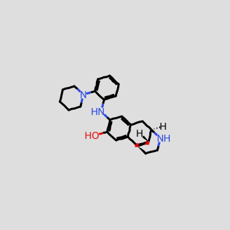 Oc1cc2c(cc1Nc1ccccc1N1CCCCC1)C[C@H]1NCC[C@@]23CCCC[C@@H]13